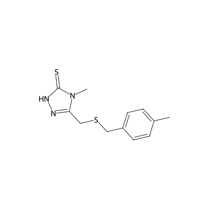 Cc1ccc(CSCc2n[nH]c(=S)n2C)cc1